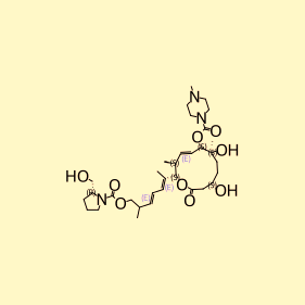 C/C(=C\C=C\C(C)COC(=O)N1CCC[C@@H]1CO)[C@H]1OC(=O)C[C@@H](O)CC[C@](C)(O)[C@@H](OC(=O)N2CCN(C)CC2)/C=C/[C@@H]1C